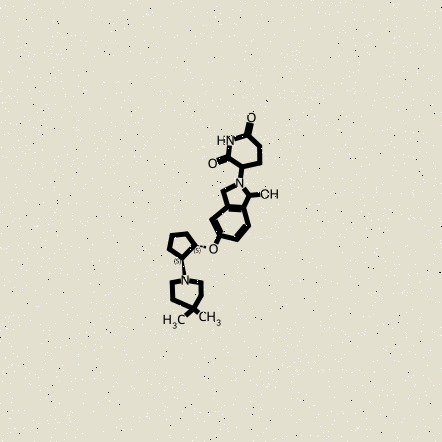 CC1(C)CCN([C@H]2CCC[C@@H]2Oc2ccc3c(c2)CN(C2CCC(=O)NC2=O)C3O)CC1